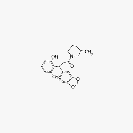 Cc1cccc(O)c1C(CC(=O)N1CCCC(C)C1)c1ccc2c(c1)OCO2